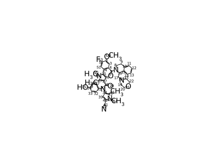 COc1cc(C(=O)N2CCc3ccccc3C2CN2CCOCC2)c(-c2cc(C(=O)N(c3ccc(O)cc3)c3cc(C#N)n(C)c3C)c(C)n2C)cc1F